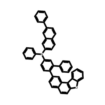 c1ccc(-c2ccc3ccc(N(c4ccccc4)c4ccc(-c5ccc6ccc7oc8ccccc8c7c6c5)c(-c5ccccc5)c4)cc3c2)cc1